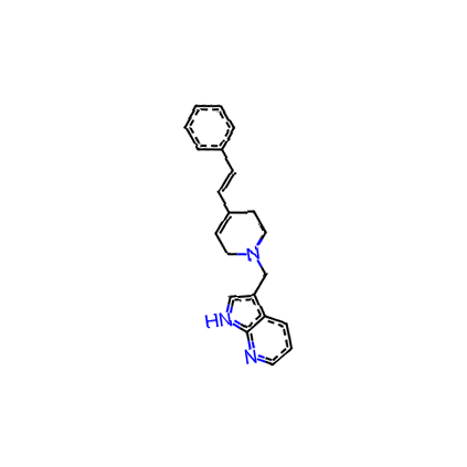 C(=Cc1ccccc1)C1=CCN(Cc2c[nH]c3ncccc23)CC1